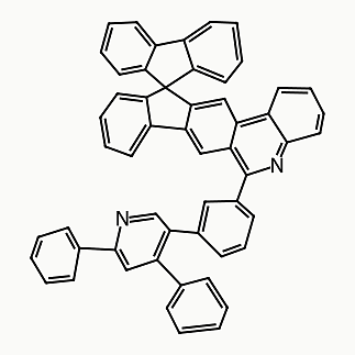 c1ccc(-c2cc(-c3ccccc3)c(-c3cccc(-c4nc5ccccc5c5cc6c(cc45)-c4ccccc4C64c5ccccc5-c5ccccc54)c3)cn2)cc1